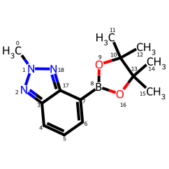 Cn1nc2cccc(B3OC(C)(C)C(C)(C)O3)c2n1